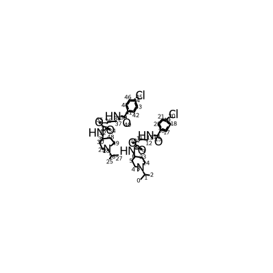 CC(C)N1CCC(NS(=O)(=O)CCNC(=O)c2ccc(Cl)cc2)CC1.CC(C)N1CCC(NS(=O)(=O)CCNC(=O)c2ccc(Cl)cc2)CC1